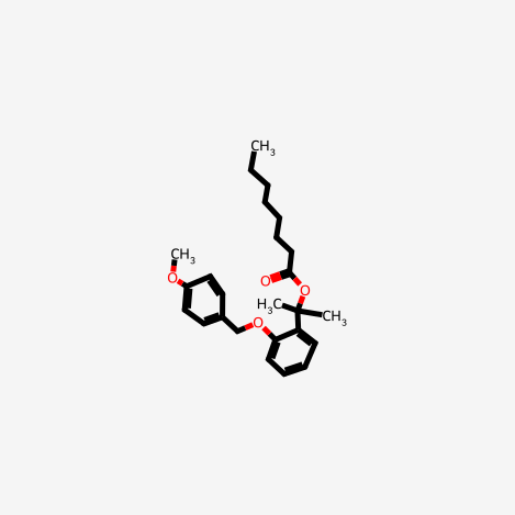 CCCCCCCC(=O)OC(C)(C)c1ccccc1OCc1ccc(OC)cc1